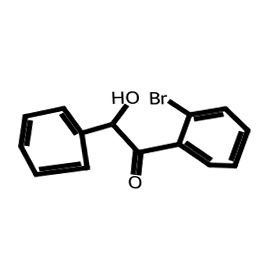 O=C(c1ccccc1Br)C(O)c1ccccc1